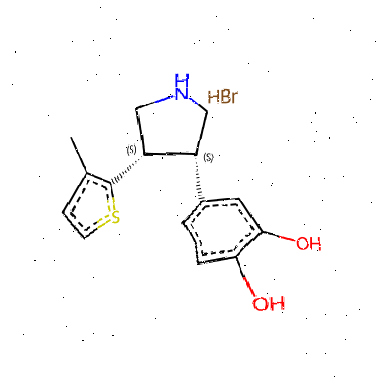 Br.Cc1ccsc1[C@@H]1CNC[C@@H]1c1ccc(O)c(O)c1